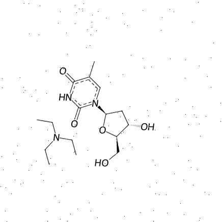 CCN(CC)CC.Cc1cn([C@H]2C[C@H](O)[C@@H](CO)O2)c(=O)[nH]c1=O